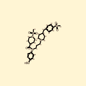 CCCCc1ccc(N(CCCN2CCC(Cc3ccc(S(C)(=O)=O)cc3)CC2)C(=O)C2CCN(S(C)(=O)=O)CC2)cc1